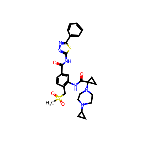 CS(=O)(=O)Cc1ccc(C(=O)Nc2nnc(-c3ccccc3)s2)cc1NC(=O)C1(N2CCN(C3CC3)CC2)CC1